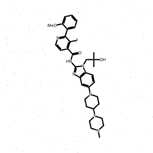 COc1ccccc1-c1nccc(C(=O)Nc2nc3cc(N4CCC(N5CCN(C)CC5)CC4)ccc3n2CC(C)(C)O)c1F